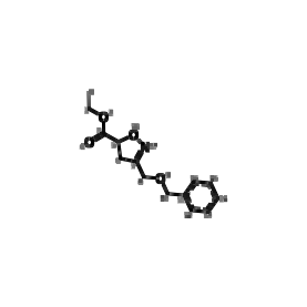 CCOC(=O)C1CC(COCc2ccccc2)=NO1